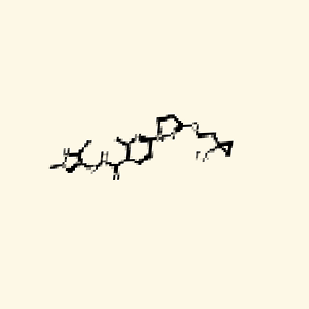 Cc1nn(C)cc1SNC(=O)c1ccc(-n2ccc(OCCC3(C(F)(F)F)CC3)n2)nc1C